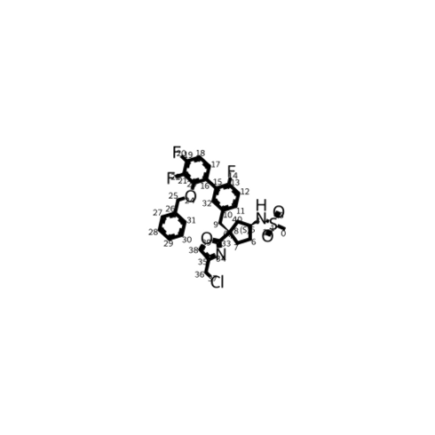 CS(=O)(=O)N[C@H]1CC[C@](Cc2ccc(F)c(-c3ccc(F)c(F)c3OCc3ccccc3)c2)(c2nc(CCl)co2)C1